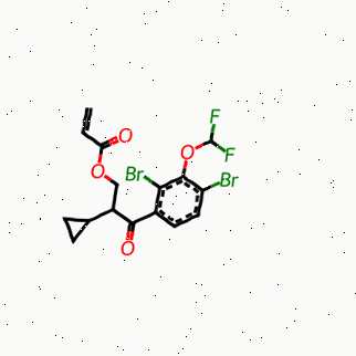 C=CC(=O)OCC(C(=O)c1ccc(Br)c(OC(F)F)c1Br)C1CC1